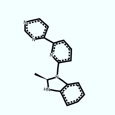 C[C@@H]1Nc2ccccc2N1c1cccc(-c2ccncn2)n1